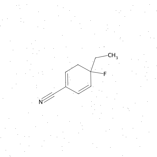 CCC1(F)C=CC(C#N)=CC1